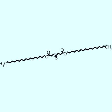 CCCCCCCCCCCCCCCCCCOC(=O)C[CH2][Sn](=[S])[CH2]CC(=O)OCCCCCCCCCCCCCCCCCC